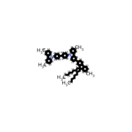 CCCCCCCCC1(CCCCCCCC)c2cc(C)ccc2-c2ccc(-c3ccc4c(c3)c3cc(C)ccc3n4-c3ccc(-c4ccc(-n5c6ccc(C)cc6c6cc(C)ccc65)cc4)cc3)cc21